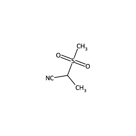 CC(C#N)S(C)(=O)=O